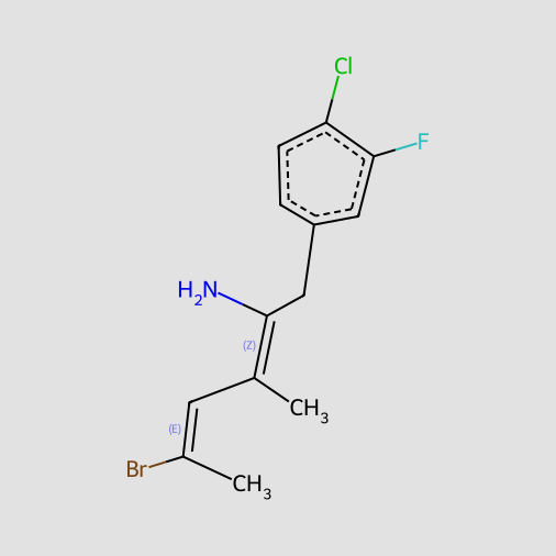 CC(/C=C(\C)Br)=C(/N)Cc1ccc(Cl)c(F)c1